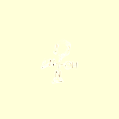 OC(c1ccccc1)(N1CC1)N1CC1